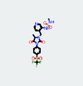 CNS(=O)(=O)Nc1cnccc1CN1C(=O)N(c2ccc(S(=O)(=O)C(F)(F)F)cc2)C(=O)C1C